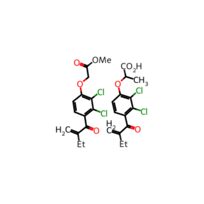 C=C(CC)C(=O)c1ccc(OC(C)C(=O)O)c(Cl)c1Cl.C=C(CC)C(=O)c1ccc(OCC(=O)OC)c(Cl)c1Cl